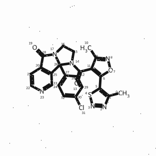 Cc1nnsc1-c1onc(C)c1C(=O)N1CCN2C(=O)c3ccncc3C21c1ccc(Cl)cc1